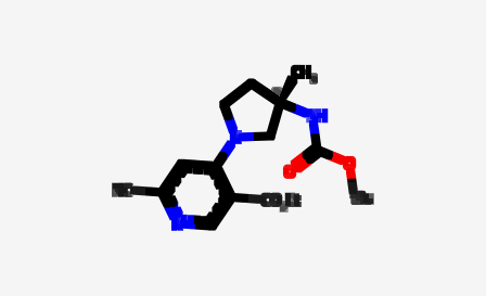 CCOC(=O)c1cnc(C#N)cc1N1CC[C@](C)(NC(=O)OC(C)(C)C)C1